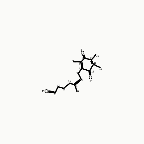 CC(=CCC1=C(C)C(=O)C(C)=C(C)C1=O)CCCC=O